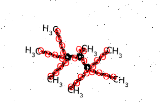 COCCOCCOCCOc1cc(COc2cc(OCc3cc(OCCOCCOCCOC)c(OCCOCCOCCOC)c(OCCOCCOCCOC)c3)cc(C(=O)OC)c2)cc(OCCOCCOCCOC)c1OCCOCCOCCOC